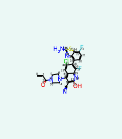 C=CC(=O)N1CCN(c2c(C#N)c(O)nc3c(F)c(-c4ccc(F)c5sc(N)nc45)c(Cl)cc23)CC1